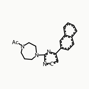 CC(=O)N1CCCN(c2nccc(-c3ccc4ccccc4c3)n2)CC1